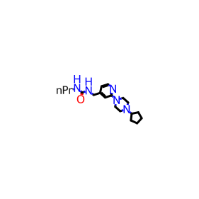 CCCNC(=O)NCc1ccnc(N2CCN(C3CCCC3)CC2)c1